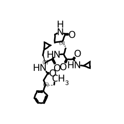 CC[C@@H](CC(=O)N[C@@H](CC1CC1)C(=O)NC(C[C@@H]1CCNC1=O)C(=O)C(=O)NC1CC1)c1ccccc1